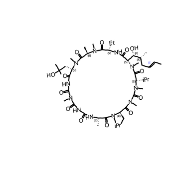 C/C=C/C[C@@H](C)[C@@H](O)[C@H]1C(=O)N[C@@H](CC)C(=O)N(C)[C@H](C)C(=O)N(C)[C@@H](CC(C)(C)O)C(=O)NC(=O)N(C)C(=O)NC(=O)N[C@@H](C)C(=O)N(C)[C@H](CC(C)C)C(=O)N(C)C(=O)N(C)[C@@H](C(C)C)C(=O)N1C